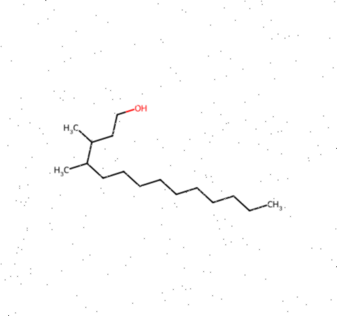 CCCCCCCCCCC(C)[C](C)CCO